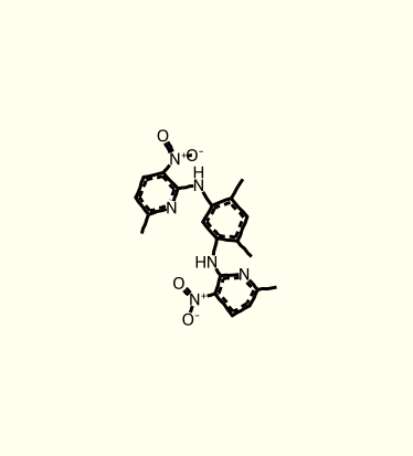 Cc1ccc([N+](=O)[O-])c(Nc2cc(Nc3nc(C)ccc3[N+](=O)[O-])c(C)cc2C)n1